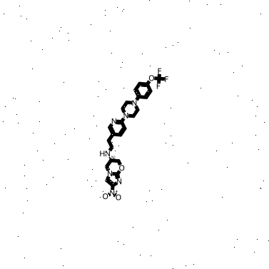 O=[N+]([O-])c1cn2c(n1)OC[C@@H](NCCc1ccc(N3CCN(c4ccc(OC(F)(F)F)cc4)CC3)nc1)C2